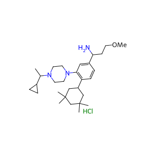 COCCC(N)c1ccc(C2CC(C)(C)CC(C)(C)C2)c(N2CCN(C(C)C3CC3)CC2)c1.Cl